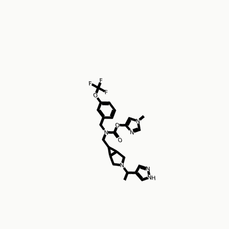 CC(c1cn[nH]c1)N1CC2C(CN(Cc3cccc(OC(F)(F)F)c3)C(=O)Oc3cn(C)cn3)C2C1